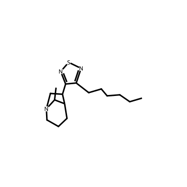 CCCCCCc1nsnc1C1CN2CCCC1C2C